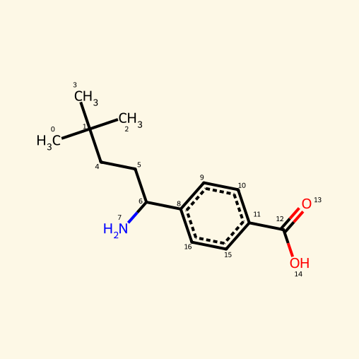 CC(C)(C)CCC(N)c1ccc(C(=O)O)cc1